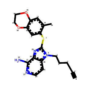 C#CCCCn1c(Sc2cc3c(cc2C)OCCO3)nc2c(N)nccc21